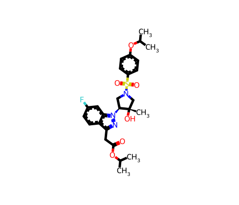 CC(C)OC(=O)Cc1nn([C@H]2CN(S(=O)(=O)c3ccc(OC(C)C)cc3)C[C@]2(C)O)c2cc(F)ccc12